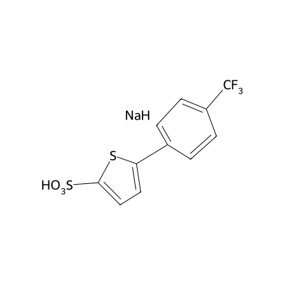 O=S(=O)(O)c1ccc(-c2ccc(C(F)(F)F)cc2)s1.[NaH]